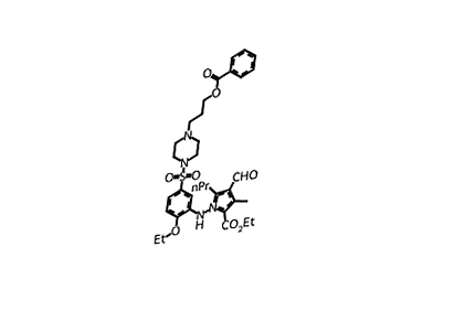 CCCc1c(C=O)c(C)c(C(=O)OCC)n1Nc1cc(S(=O)(=O)N2CCN(CCCOC(=O)c3ccccc3)CC2)ccc1OCC